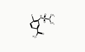 CC(=O)c1ccc(F)c(NS(=O)(=O)N(C)C)c1